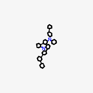 c1ccc(-c2ccc(N(c3ccccc3)c3ccc(-c4ccccc4-n4c5ccccc5c5ccc(-c6cccc(-c7ccccc7)c6)cc54)cc3)cc2)cc1